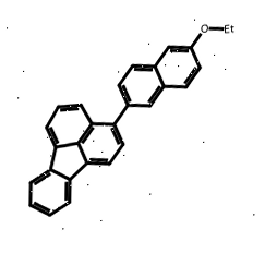 CCOc1ccc2cc(-c3ccc4c5c(cccc35)-c3ccccc3-4)ccc2c1